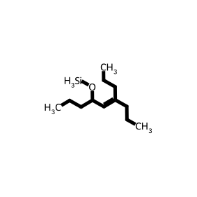 CCCC(=CC(CCC)O[SiH3])CCC